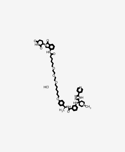 C[C@H](NC(=O)c1cccc(NC2(c3nnc(-c4ccncc4)[nH]3)CCN(C)CC2)c1)c1ccc(OCCCCCCOCCOCCOCCCCCC(=O)Nc2cccc3c2CN(C2CCC(=O)NC2=O)C3=O)cc1.Cl